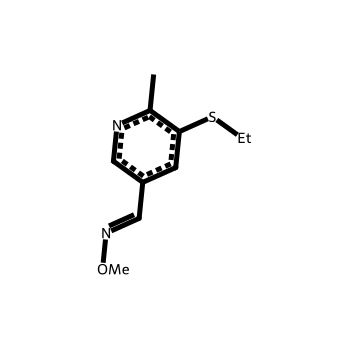 CCSc1cc(/C=N/OC)cnc1C